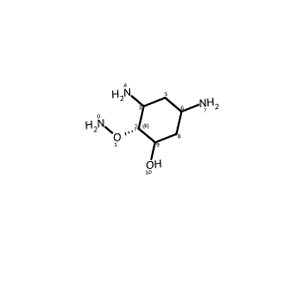 NO[C@@H]1C(N)CC(N)CC1O